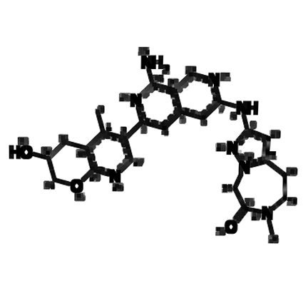 Cc1c(-c2cc3cc(Nc4cc5n(n4)CC(=O)N(C)CC5)ncc3c(N)n2)cnc2c1CC(O)CO2